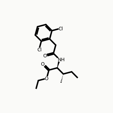 CCOC(=O)[C@@H](NC(=O)Cc1c(Cl)cccc1Cl)[C@@H](C)CC